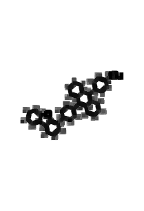 CC(C)(C)c1ccc(-c2c3ccccc3c(-c3ccc(-c4cccc5c4oc4ccccc45)cc3)c3ccccc23)cc1